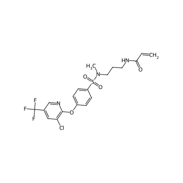 C=CC(=O)NCCCN(C)S(=O)(=O)c1ccc(Oc2ncc(C(F)(F)F)cc2Cl)cc1